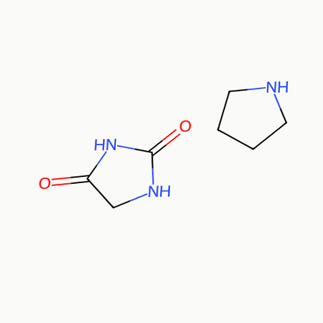 C1CCNC1.O=C1CNC(=O)N1